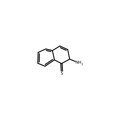 NC1C=Cc2ccccc2C1=S